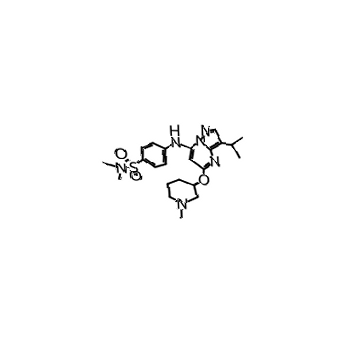 CC(C)c1cnn2c(Nc3ccc(S(=O)(=O)N(C)C)cc3)cc(OC3CCCN(C)C3)nc12